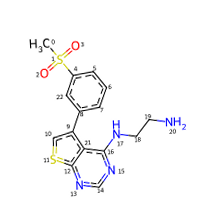 CS(=O)(=O)c1cccc(-c2csc3ncnc(NCCN)c23)c1